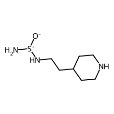 N[S+]([O-])NCCC1CCNCC1